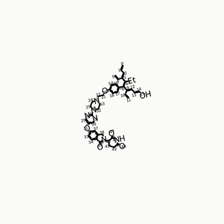 C=C/C=C(C=C)/C(CC)=C(/C(C=C)=C/C=C/O)c1ccc(OCCN2CCN(c3ncc(Oc4ccc5c(c4)CN(C4CCC(=O)NC4=O)C5=O)cn3)CC2)cc1